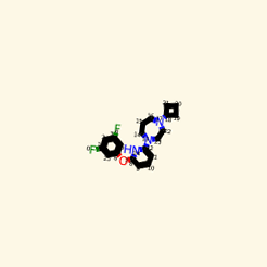 Fc1cc(F)cc(OC2C=C[C]=C(N3CCCN(C4CCC4)CC3)N2)c1